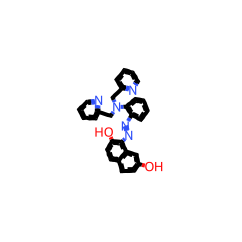 Oc1ccc2ccc(O)c(/N=N/c3ccccc3N(Cc3ccccn3)Cc3ccccn3)c2c1